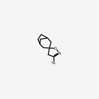 [2H]C1=NOC2(C1)CC1CCC(C1)C2